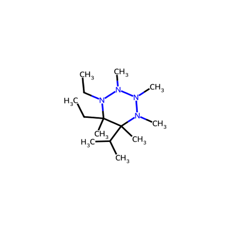 CCN1N(C)N(C)N(C)C(C)(C(C)C)C1(C)CC